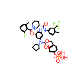 Cc1ccc(NC(=O)[C@H]2CCCN(C(=O)c3c(C)cccc3F)[C@H]2c2ccc(N(C3CCCC3)C(O)OCc3ccc(OP(=O)(O)O)cc3)cc2)cc1C(F)(F)F